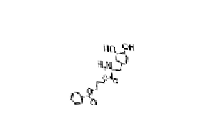 N[C@@H](Cc1ccc(O)c(O)c1)C(=O)OCCCOC(=O)c1ccccc1